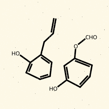 C=CCc1ccccc1O.O=COc1cccc(O)c1